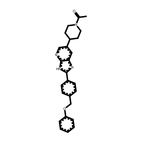 CC(=O)N1CCC(c2cnc3[nH]c(-c4ccc(COc5ccccc5)cc4)nc3c2)CC1